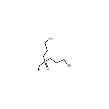 CC(C)CP(=O)(CCCO)CCCO